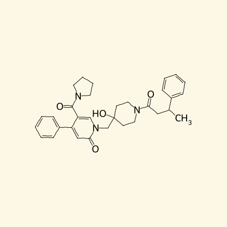 CC(CC(=O)N1CCC(O)(Cn2cc(C(=O)N3CCCC3)c(-c3ccccc3)cc2=O)CC1)c1ccccc1